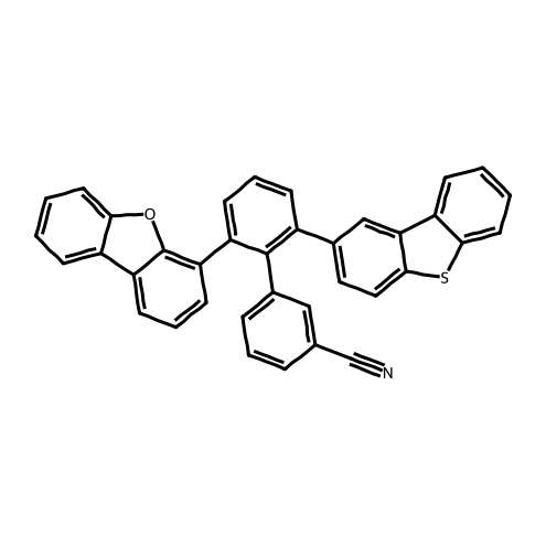 N#Cc1cccc(-c2c(-c3ccc4sc5ccccc5c4c3)cccc2-c2cccc3c2oc2ccccc23)c1